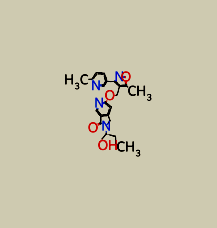 CCC[C@@H](CO)N1Cc2cc(OCc3c(-c4ccc(C)nc4)noc3C)ncc2C1=O